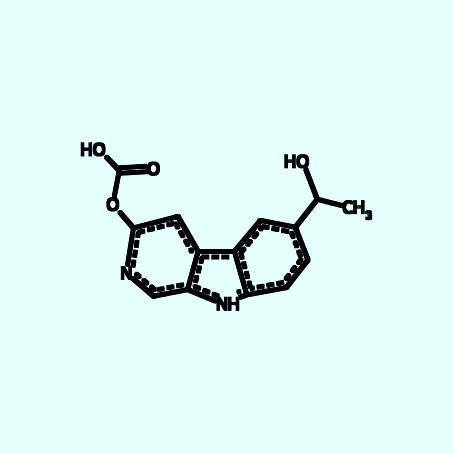 CC(O)c1ccc2[nH]c3cnc(OC(=O)O)cc3c2c1